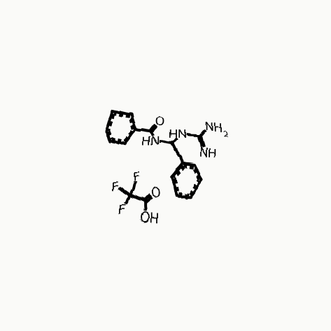 N=C(N)NC(NC(=O)c1ccccc1)c1ccccc1.O=C(O)C(F)(F)F